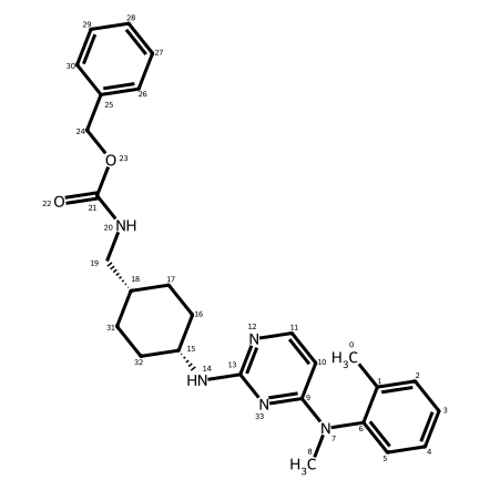 Cc1ccccc1N(C)c1ccnc(N[C@H]2CC[C@@H](CNC(=O)OCc3ccccc3)CC2)n1